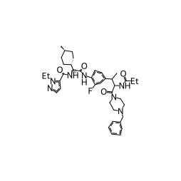 CCC(=O)NC(C(=O)N1CCN(Cc2ccccc2)CC1)C(C)c1ccc(NC(=O)[C@@H](NC(=O)c2ccnn2CC)[C@H]2CC[C@H](C)CC2)c(F)c1